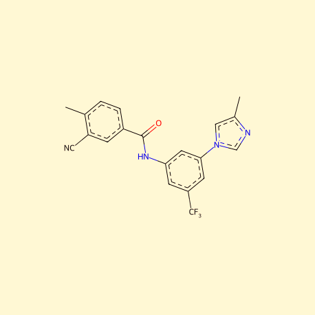 Cc1cn(-c2cc(NC(=O)c3ccc(C)c(C#N)c3)cc(C(F)(F)F)c2)cn1